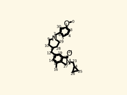 COc1cccc(CN2CCC(Cc3cc(C)c4c(c3)C(=O)N(CC3CC3)C4)CC2)c1